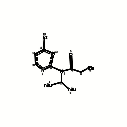 CCCCC(CCCC)N(C(=O)CC(C)(C)C)c1nccc(CC)n1